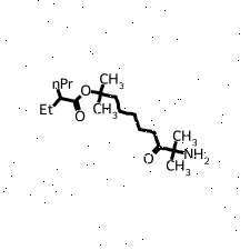 CCCC(CC)C(=O)OC(C)(C)CCCCCC(=O)C(C)(C)N